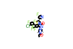 C=CC(=O)N1[C@H](C)CN(c2nc(=O)n3c4c(c(-c5cc(Cl)c(F)cc5F)c(C(F)(F)F)cc24)SC[C@@H](c2cncc(F)c2)C3)C[C@@H]1C